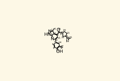 Cc1n[nH]c2nc(-c3ccc(O)c(F)c3)cc(C(=O)N3CCC(N(C)C)C3)c12